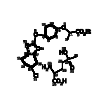 CCOC(=O)C(C)Oc1ccc(Oc2nc3ccc(Cl)cc3o2)cc1.CP(=O)(O)CCC(N)C(=O)O